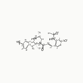 CC(=O)Nc1cc(Cl)ccc1C=CC(=O)N1C[C@@H](C)NC[C@]1(C)Cc1ccc(F)cc1